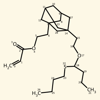 C=CC(=O)OCCC12CC3CC(C1)CC(CCOC(CCC)SCCCC)(C3)C2